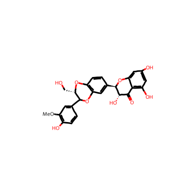 COc1cc(C2Oc3cc([C@H]4Oc5cc(O)cc(O)c5C(=O)[C@@H]4O)ccc3O[C@H]2CO)ccc1O